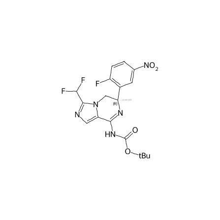 CC(C)(C)OC(=O)NC1=N[C@](C)(c2cc([N+](=O)[O-])ccc2F)Cn2c1cnc2C(F)F